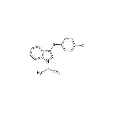 CC(C)n1cc(Sc2ccc(Cl)cc2)c2ccccc21